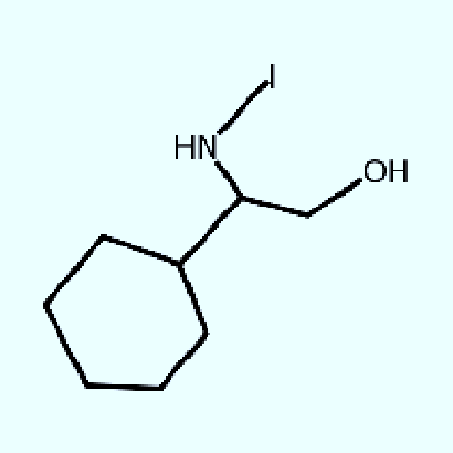 OCC(NI)C1CCCCC1